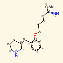 COC(=N)CCCCOc1ccccc1CC1CCCNC1